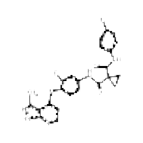 Cc1n[nH]c2nccc(Oc3ccc(NC(=O)C4(C(=O)Nc5ccc(F)cc5)CC4)cc3F)c12